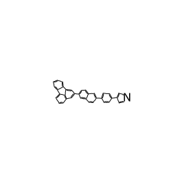 c1ccc2c(c1)-c1cccc3cc(-c4ccc5cc(-c6ccc(-c7ccncc7)cc6)ccc5c4)cc-2c13